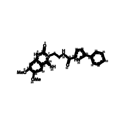 COc1cc2[nH]c(=O)n(CCNC(=O)c3ccc(-c4ccccc4)[nH]3)c(=N)c2cc1OC